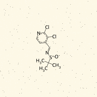 CC(C)(C)[S@+]([O-])N=Cc1ccnc(Cl)c1Cl